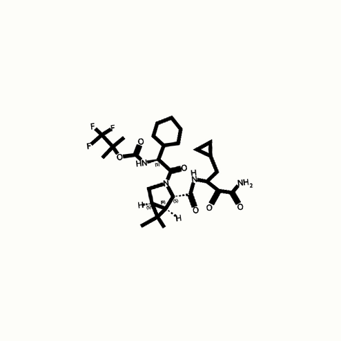 CC1(C)[C@@H]2[C@@H](C(=O)NC(CC3CC3)C(=O)C(N)=O)N(C(=O)[C@@H](NC(=O)OC(C)(C)C(F)(F)F)C3CCCCC3)C[C@@H]21